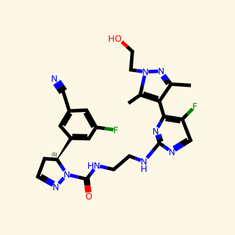 Cc1nn(CCO)c(C)c1-c1nc(NCCNC(=O)N2N=CC[C@H]2c2cc(F)cc(C#N)c2)ncc1F